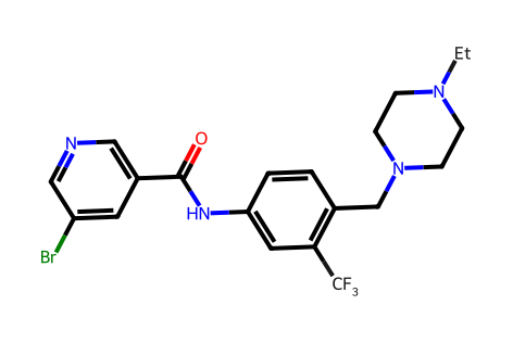 CCN1CCN(Cc2ccc(NC(=O)c3cncc(Br)c3)cc2C(F)(F)F)CC1